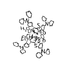 CCC1(C)c2cc(N(c3ccccc3)c3ccccc3)ccc2-c2c1ccc1c2Sc2cc(N(c3ccccc3)c3ccccc3)cc3c2B1c1cc2c(cc1O3)Oc1cc(N(c3ccccc3)c3ccccc3)cc3c1B2c1ccc2c(c1S3)-c1ccc(N(c3ccccc3)c3ccccc3)cc1C2(C)C